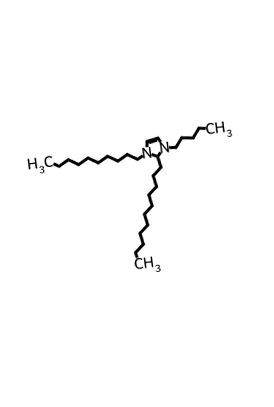 CCCCCCCCCCCC1N(CCCCC)C=CN1CCCCCCCCCC